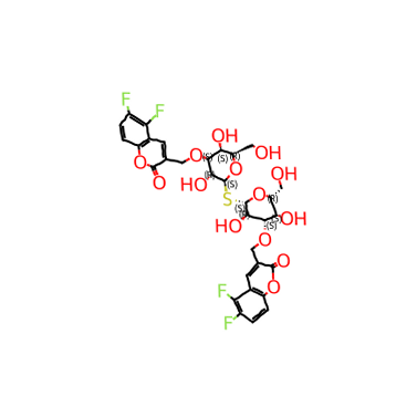 O=c1oc2ccc(F)c(F)c2cc1CO[C@H]1[C@@H](O)[C@@H](CO)O[C@@H](S[C@@H]2O[C@H](CO)[C@H](O)[C@H](OCc3cc4c(F)c(F)ccc4oc3=O)[C@H]2O)[C@@H]1O